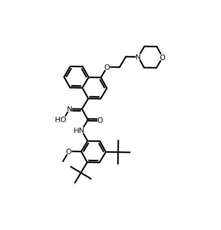 COc1c(NC(=O)C(=NO)c2ccc(OCCN3CCOCC3)c3ccccc23)cc(C(C)(C)C)cc1C(C)(C)C